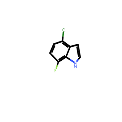 Fc1ccc(Cl)c2cc[nH]c12